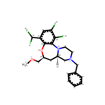 COC[C@@H]1C[C@@H]2CN(Cc3ccccc3)CCN2c2c(F)c(F)cc(C(F)F)c2O1